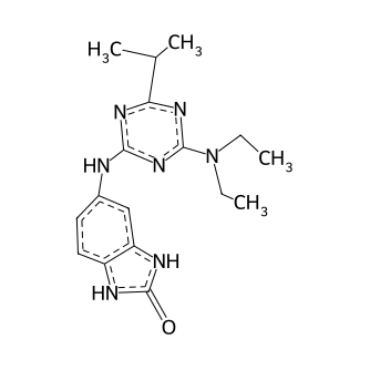 CCN(CC)c1nc(Nc2ccc3[nH]c(=O)[nH]c3c2)nc(C(C)C)n1